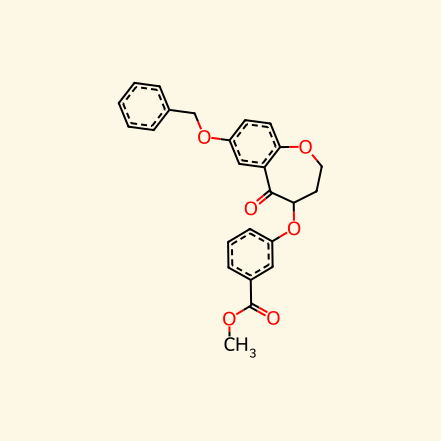 COC(=O)c1cccc(OC2CCOc3ccc(OCc4ccccc4)cc3C2=O)c1